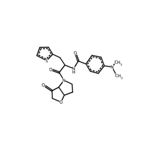 CN(C)c1ccc(C(=O)NC(Cc2cccs2)C(=O)N2CCC3OCC(=O)C32)cc1